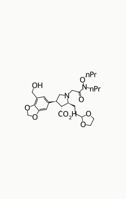 CCCON(CCC)C(=O)CN1C[C@H](c2cc(CO)c3c(c2)OCO3)[C@@H](C(=O)O)[C@@H]1CCC1OCCO1